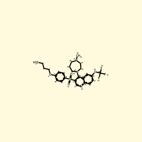 CCCCOc1ccc(S(=O)(=O)c2cnc3ccc(OC(F)(F)F)cc3c2N2CCCN(C)CC2)cc1